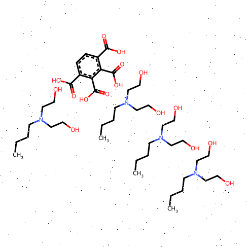 CCCCN(CCO)CCO.CCCCN(CCO)CCO.CCCCN(CCO)CCO.CCCCN(CCO)CCO.O=C(O)c1ccc(C(=O)O)c(C(=O)O)c1C(=O)O